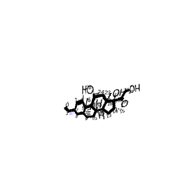 C/C=C1\C=C[C@@]2(C)C(=C1)CC[C@H]1[C@@H]3C[C@@H](C)[C@](O)(C(=O)CO)[C@@]3(C)C[C@H](O)[C@@]12F